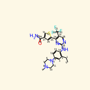 CCc1cc(N2CCN(C)CC2)ccc1Nc1ncc(C(F)(F)F)c(-c2cc(C(N)=O)cs2)n1